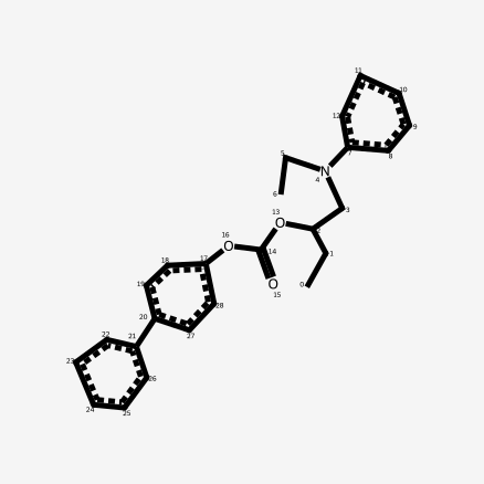 CCC(CN(CC)c1ccccc1)OC(=O)Oc1ccc(-c2ccccc2)cc1